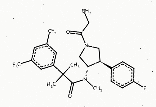 BCC(=O)N1C[C@@H](N(C)C(=O)C(C)(C)c2cc(C(F)(F)F)cc(C(F)(F)F)c2)[C@H](c2ccc(F)cc2)C1